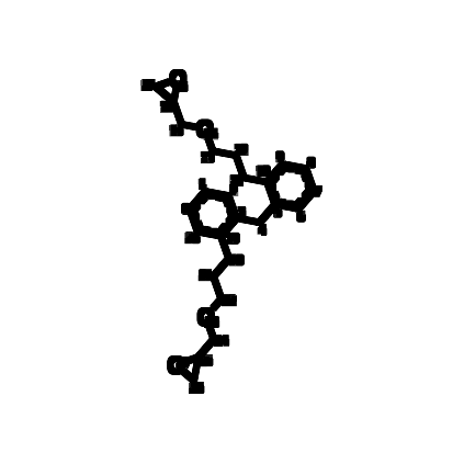 c1ccc(Cc2ccccc2CCCOCC2CO2)c(CCCOCC2CO2)c1